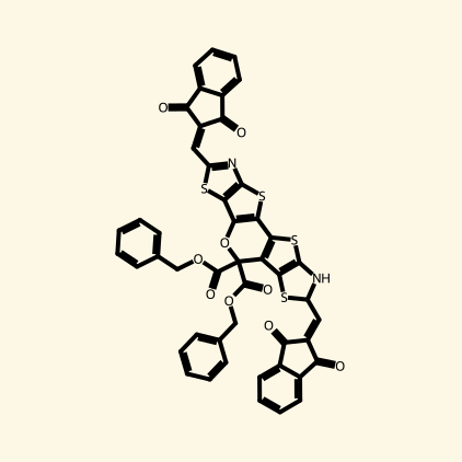 O=C1C(=Cc2nc3sc4c(c3s2)OC(C(=O)OCc2ccccc2)(C(=O)OCc2ccccc2)c2c-4sc3c2SC(C=C2C(=O)c4ccccc4C2=O)N3)C(=O)c2ccccc21